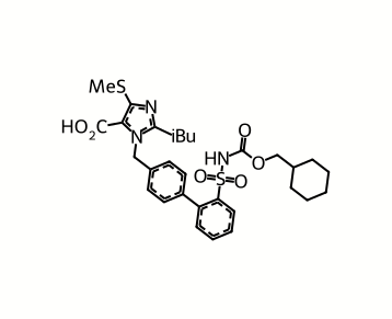 CCC(C)c1nc(SC)c(C(=O)O)n1Cc1ccc(-c2ccccc2S(=O)(=O)NC(=O)OCC2CCCCC2)cc1